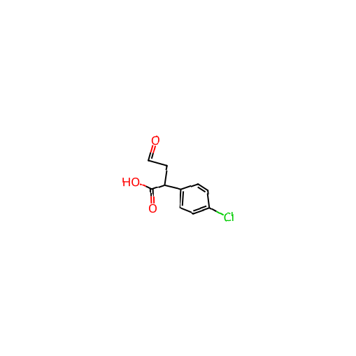 O=CCC(C(=O)O)c1ccc(Cl)cc1